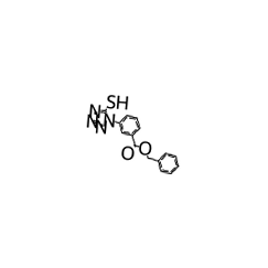 O=C(OCc1ccccc1)c1cccc(-n2nnnc2S)c1